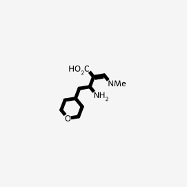 CN/C=C(/C(=O)O)C(N)CC1CCOCC1